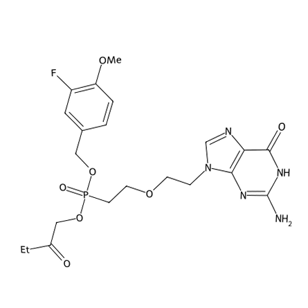 CCC(=O)COP(=O)(CCOCCn1cnc2c(=O)[nH]c(N)nc21)OCc1ccc(OC)c(F)c1